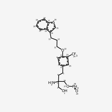 NC(CO)(CCc1ccc(OCCCc2csc3ccccc23)c(C(F)(F)F)c1)CO[PH2]=O